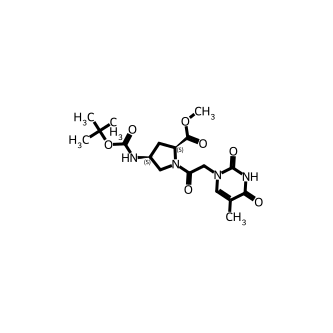 COC(=O)[C@@H]1C[C@H](NC(=O)OC(C)(C)C)CN1C(=O)Cn1cc(C)c(=O)[nH]c1=O